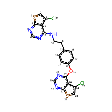 Clc1csc2ncnc(NCCc3ccc(Oc4ncnc5scc(Cl)c45)cc3)c12